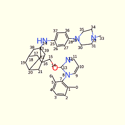 Cc1cccc(C)c1N1C=CC=NC1OCC12CC3CC(C1)CC(Nc1ccc(N4CCN(C)CC4)cc1)(C3)C2